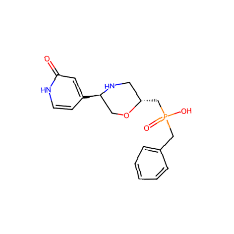 O=c1cc([C@@H]2CO[C@@H](CP(=O)(O)Cc3ccccc3)CN2)cc[nH]1